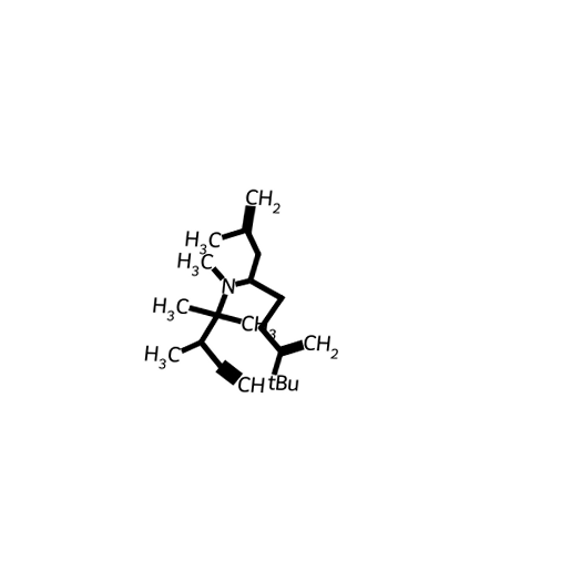 C#CC(C)C(C)(C)N(C)C(CCC(=C)C(C)(C)C)CC(=C)C